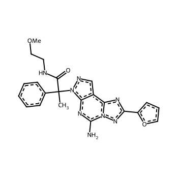 COCCNC(=O)C(C)(c1ccccc1)n1ncc2c1nc(N)n1nc(-c3ccco3)nc21